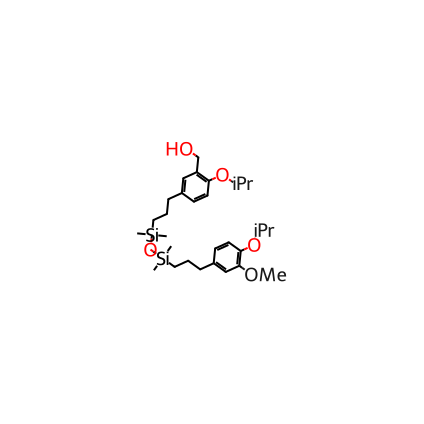 COc1cc(CCC[Si](C)(C)O[Si](C)(C)CCCc2ccc(OC(C)C)c(CO)c2)ccc1OC(C)C